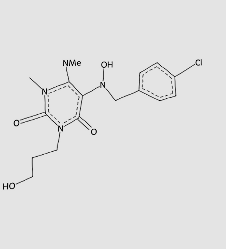 CNc1c(N(O)Cc2ccc(Cl)cc2)c(=O)n(CCCO)c(=O)n1C